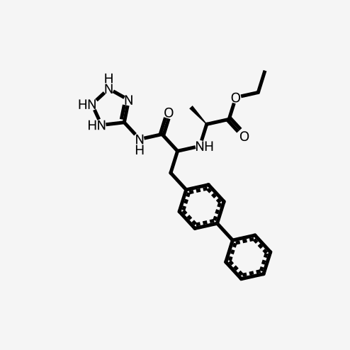 CCOC(=O)[C@H](C)NC(Cc1ccc(-c2ccccc2)cc1)C(=O)NC1=NNNN1